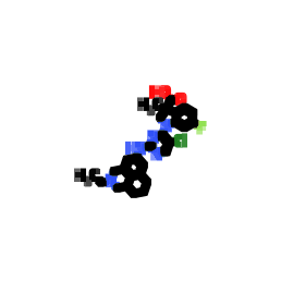 CCN1Cc2cc(Nc3ncc(Cl)c(N4CC(C)(C(=O)O)c5ccc(F)cc54)n3)cc3c2C(CCC3)C1